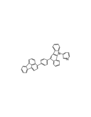 c1cncc(-n2c3ccccc3c3cc(-c4ccc(-c5ccc6c7c(cccc57)-c5ccccc5-6)cc4)c4ccccc4c32)c1